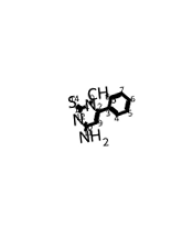 Cn1c(-c2ccccc2)cc(N)nc1=S